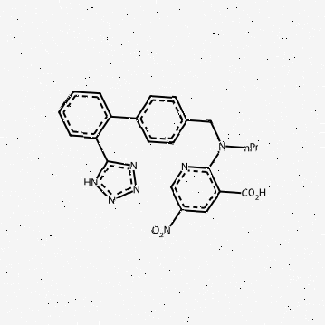 CCCN(Cc1ccc(-c2ccccc2-c2nnn[nH]2)cc1)c1ncc([N+](=O)[O-])cc1C(=O)O